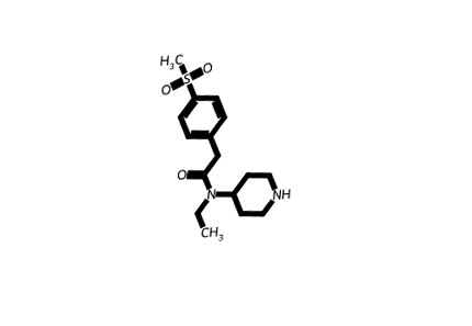 CCN(C(=O)Cc1ccc(S(C)(=O)=O)cc1)C1CCNCC1